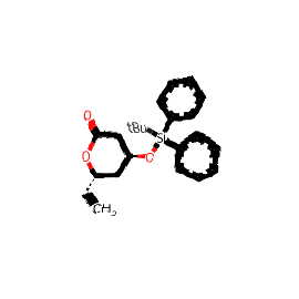 C=C[C@H]1C[C@H](O[Si](c2ccccc2)(c2ccccc2)C(C)(C)C)CC(=O)O1